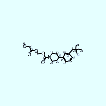 COCC(=O)OCOC(=O)N1CCC(c2cccc(CC(C)(C)C)c2)CC1